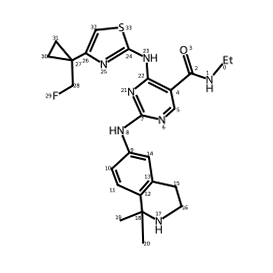 CCNC(=O)c1cnc(Nc2ccc3c(c2)CCNC3(C)C)nc1Nc1nc(C2(CF)CC2)cs1